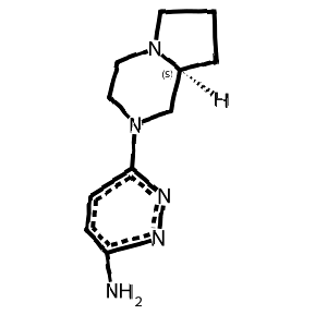 Nc1ccc(N2CCN3CCC[C@H]3C2)nn1